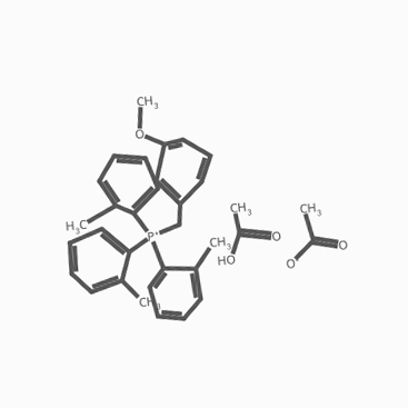 CC(=O)O.CC(=O)[O-].COc1cccc(C[P+](c2ccccc2C)(c2ccccc2C)c2ccccc2C)c1